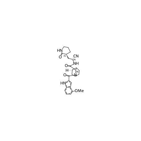 COc1cccc2[nH]c(C(=O)N3C4CCC(CC4)[C@@H]3C(=O)N[C@@H](C#N)C[C@@H]3CCCNC3=O)cc12